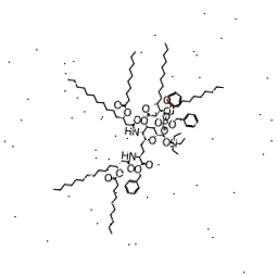 CCCCCCCCCCC[C@H](CC(=O)N[C@@H]1[C@@H](OC(=O)C[C@@H](CCCCCCCCCCC)OC(=O)CCCCCCCCC)[C@H](OP(=O)(OCc2ccccc2)OCc2ccccc2)[C@@H](CO[Si](CC)(CC)CC)O[C@H]1CC[C@H](NC(=O)C[C@@H](CCCCCCCCCCC)OC(=O)CCCCCCCCC)C(=O)OCc1ccccc1)OC(=O)CCCCCCCCC